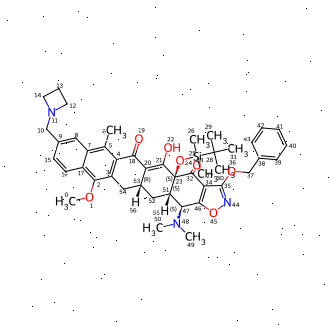 COc1c2c(c(C)c3cc(CN4CCC4)ccc13)C(=O)C1=C(O)[C@]3(O[Si](C)(C)C(C)(C)C)C(=O)c4c(OCc5ccccc5)noc4[C@@H](N(C)C)[C@@H]3C[C@@H]1C2